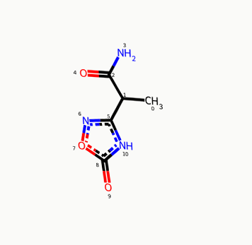 CC(C(N)=O)c1noc(=O)[nH]1